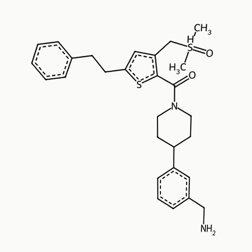 C[SH](C)(=O)Cc1cc(CCc2ccccc2)sc1C(=O)N1CCC(c2cccc(CN)c2)CC1